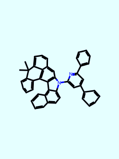 CC1(C)c2ccccc2-c2c3c1cccc3cc1c2c2c3ccccc3ccc2n1-c1cc(-c2ccccc2)cc(-c2ccccc2)n1